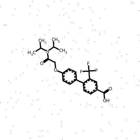 CC(C)N(C(=O)COc1ccc(-c2ccc(C(=O)O)cc2C(F)(F)F)cc1)C(C)C